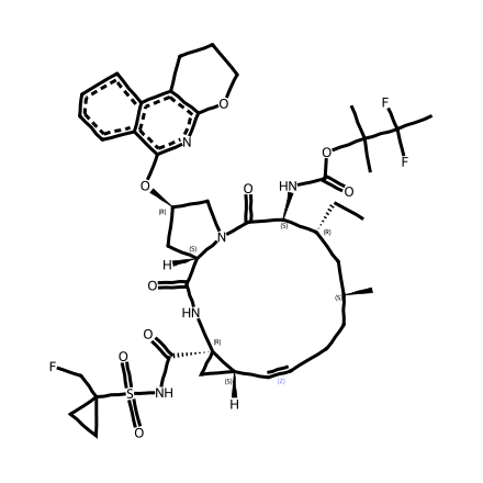 CC[C@@H]1C[C@@H](C)CC/C=C\[C@@H]2C[C@@]2(C(=O)NS(=O)(=O)C2(CF)CC2)NC(=O)[C@@H]2C[C@@H](Oc3nc4c(c5ccccc35)CCCO4)CN2C(=O)[C@H]1NC(=O)OC(C)(C)C(C)(F)F